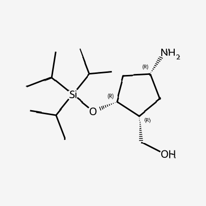 CC(C)[Si](O[C@@H]1C[C@H](N)C[C@@H]1CO)(C(C)C)C(C)C